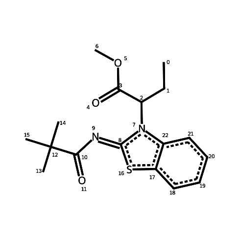 CCC(C(=O)OC)n1c(=NC(=O)C(C)(C)C)sc2ccccc21